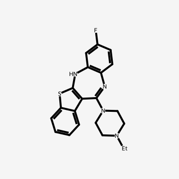 CCN1CCN(C2=Nc3ccc(F)cc3Nc3sc4ccccc4c32)CC1